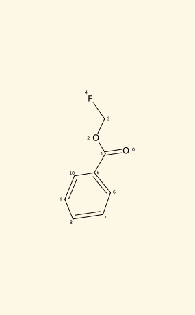 O=C(OCF)c1ccccc1